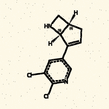 Clc1cc(C2=CC[C@@H]3CN[C@H]23)cnc1Cl